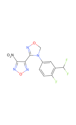 O=[N+]([O-])c1nonc1C1=NOCN1c1ccc(F)c(C(F)F)c1